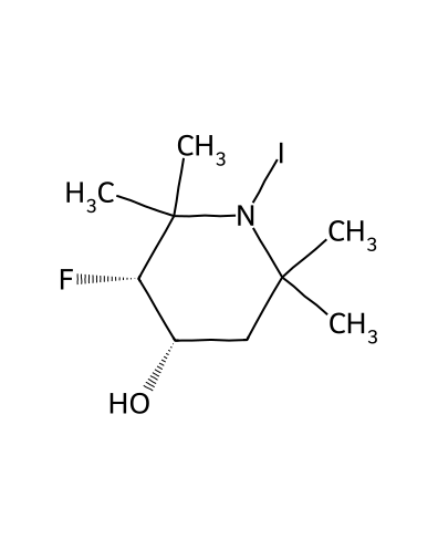 CC1(C)C[C@H](O)[C@H](F)C(C)(C)N1I